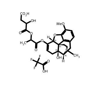 COc1ccc2c3c1O[C@H]1C(OC(=O)C(C)OC(=O)C(O)CC(=O)O)=CC[C@@]4(O)[C@@H](C2)N(C)CC[C@]314.O=C(O)C(F)(F)F